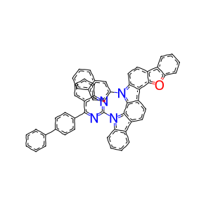 c1ccc(-c2ccc(-c3nc(-n4c5ccccc5c5ccc6c7c8oc9ccccc9c8ccc7n(-c7ccc8ccccc8c7)c6c54)nc4ccccc34)cc2)cc1